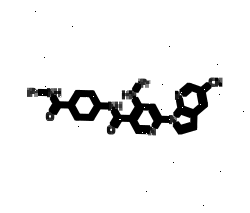 CC(C)NC(=O)C1CCC(NC(=O)c2cnc(-n3ccc4cc(C#N)cnc43)cc2NC(C)C)CC1